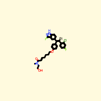 CC/C(=C(/c1ccc(OCCCC/C=C/C(=O)N(C)CCO)cc1)c1ccc2[nH]nc(F)c2c1)c1ccc(F)cc1Cl